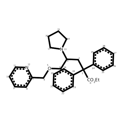 CCOC(=O)C(CC(COCc1ccccn1)N1CCCC1)(c1ccccc1)c1ccccc1